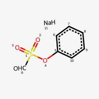 O=CS(=O)(=O)Oc1ccccc1.[NaH]